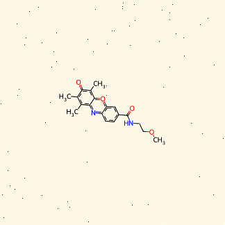 COCCNC(=O)c1ccc2nc3c(C)c(C)c(=O)c(C)c-3oc2c1